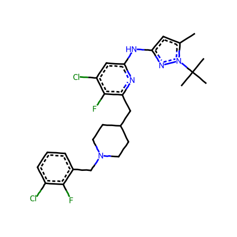 Cc1cc(Nc2cc(Cl)c(F)c(CC3CCN(Cc4cccc(Cl)c4F)CC3)n2)nn1C(C)(C)C